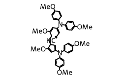 C#C/C=C(\C=C(/CCC1C=C(N(c2ccc(OC)cc2)c2ccc(OC)cc2)C=C1OC)OC)N(c1ccc(OC)cc1)c1ccc(OC)cc1